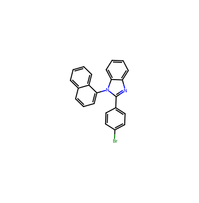 Brc1ccc(-c2nc3ccccc3n2-c2cccc3ccccc23)cc1